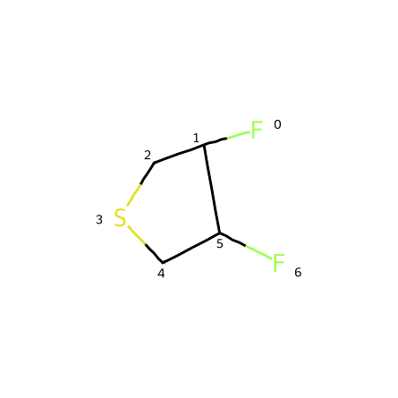 FC1CSCC1F